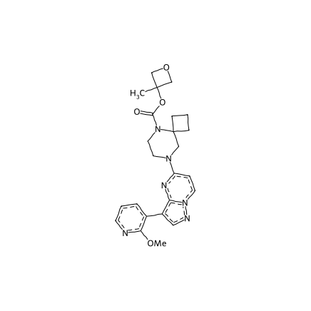 COc1ncccc1-c1cnn2ccc(N3CCN(C(=O)OC4(C)COC4)C4(CCC4)C3)nc12